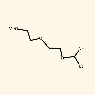 [CH2]CC(N)OCCOCCOC